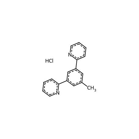 Cc1cc(-c2ccccn2)cc(-c2ccccn2)c1.Cl